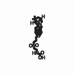 CC1(C)C[C@@H]2CN(Cc3ccccc3)C[C@H]1N(c1ccc(OCCCS(=O)(=O)CCNC(=O)O)cc1)C2